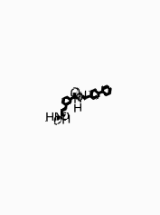 O=C(/C=C/c1cccc(C(=O)N/N=C/c2ccc(-c3ccccc3)cc2)c1)NO